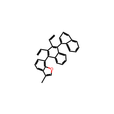 C=Cc1c(C=C)c(-c2cccc3c(C)coc23)c2ccccc2c1-c1cccc2ccccc12